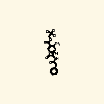 CC1S[C@@H]2C(NC(=O)Cc3ccccc3)C(=O)N2C=C1C(=O)OCC(Cl)(Cl)Cl